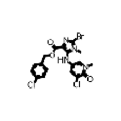 Cn1c(Br)nc(C(=O)OCc2ccc(Cl)cc2)c1Nc1cc(Cl)c(=O)n(C)c1